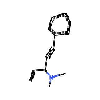 C=CC(C#Cc1ccccc1)N(C)C